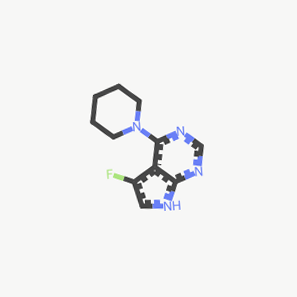 Fc1c[nH]c2ncnc(N3CCCCC3)c12